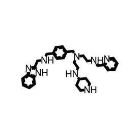 c1ccc(CNCCN(CCNC2CCNCC2)Cc2ccc(CNCc3nc4ccccc4[nH]3)cc2)nc1